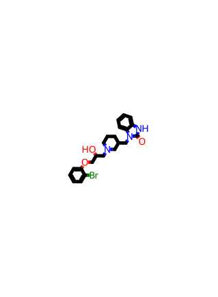 O=c1[nH]c2ccccc2n1CC1CCCN(CC(O)COc2ccccc2Br)C1